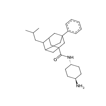 CC(C)CC1C2CC3(C(=O)N[C@H]4CC[C@H](N)CC4)CC1CC(c1ccccc1)(C2)C3